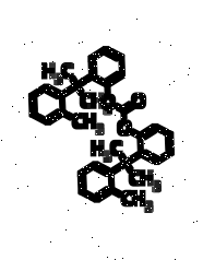 Cc1ccccc1C(C)(C)c1ccccc1OC(=O)Oc1ccccc1C(C)(C)c1ccccc1C